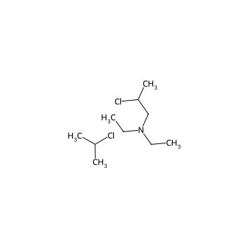 CC(C)Cl.CCN(CC)CC(C)Cl